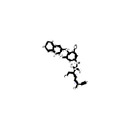 C#C/C(Cl)=C\C=C(/CCl)S(=O)(=O)Nc1cc(Cl)c(Oc2cnc3c(c2)=CCCC=3)c(Cl)c1